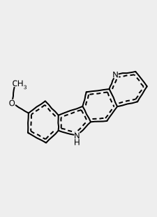 COc1ccc2[nH]c3cc4cccnc4cc3c2c1